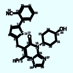 CCCc1c(Cc2ccc(-c3ccccc3C#N)s2)c(=O)n([C@H]2CC[C@H](O)CC2)c2ncnn12